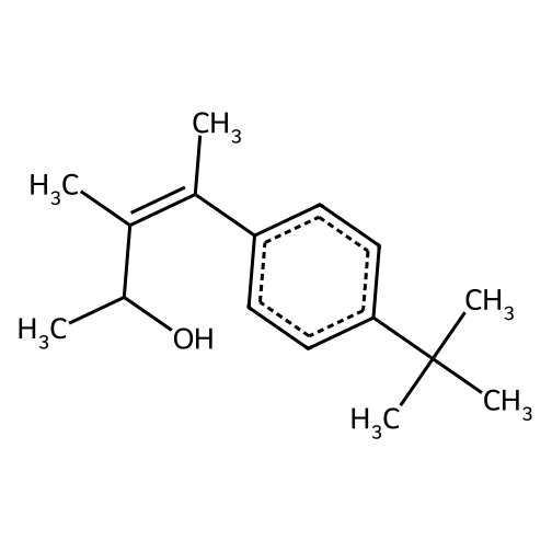 CC(=C(C)C(C)O)c1ccc(C(C)(C)C)cc1